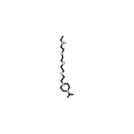 CCNCCOCCOCCOCCN1CCN(C(C)C)CC1